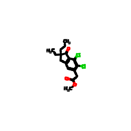 CCCC1(CC)Cc2cc(CC(=O)OC)c(Cl)c(Cl)c2C1=O